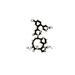 CCn1cc(-c2ccc(Cl)cc2-c2cc(=O)n(C3CCCC(C)C(=O)Nc4cnn(C)c4-c4ccnc3c4)cn2)cn1